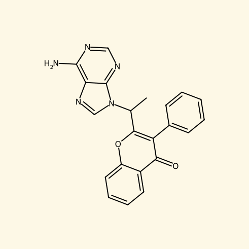 CC(c1oc2ccccc2c(=O)c1-c1ccccc1)n1cnc2c(N)ncnc21